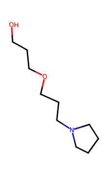 OCCCOCCCN1CCCC1